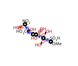 COc1ccc(/N=N/c2cc(OCCO)c(/N=N/c3c(SOOO)cc4cc(-n5nc(C(=O)O)c(/N=N/c6ccc([N+](=O)[O-])cc6SOOO)c5O)ccc4c3O)cc2OCCO)c(S(=O)(=O)O)c1